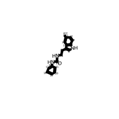 O=C(NCCc1c[nH]c2ccc(I)cc12)Nc1ccccc1